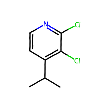 CC(C)c1ccnc(Cl)c1Cl